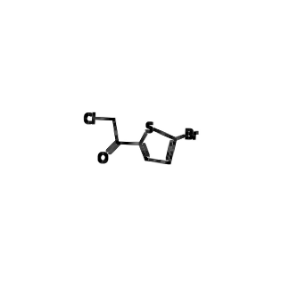 O=C(CCl)c1ccc(Br)s1